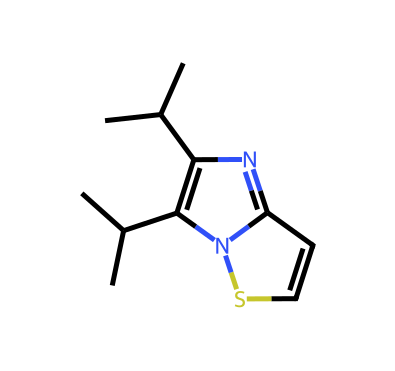 CC(C)c1nc2ccsn2c1C(C)C